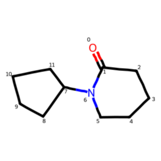 O=C1CCCCN1C1CCCC1